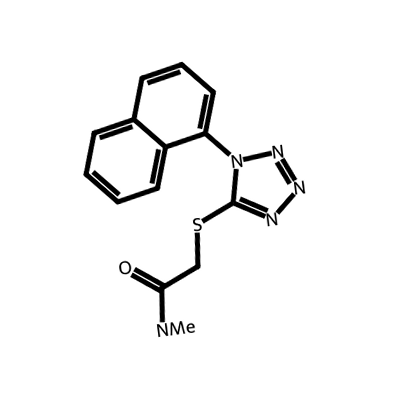 CNC(=O)CSc1nnnn1-c1cccc2ccccc12